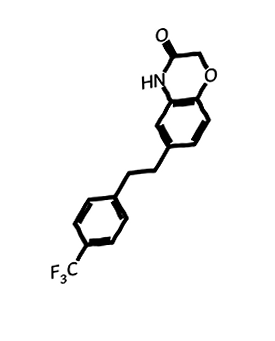 O=C1COc2ccc(CCc3ccc(C(F)(F)F)cc3)cc2N1